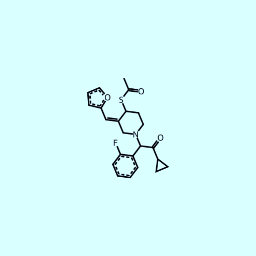 CC(=O)SC1CCN(C(C(=O)C2CC2)c2ccccc2F)CC1=Cc1ccco1